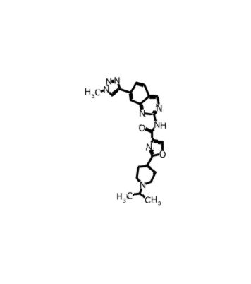 CC(C)N1CCC(c2nc(C(=O)Nc3ncc4ccc(-c5cn(C)nn5)cc4n3)co2)CC1